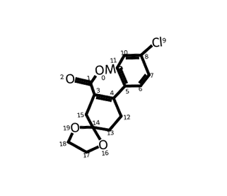 COC(=O)C1=C(c2ccc(Cl)cc2)CCC2(C1)OCCO2